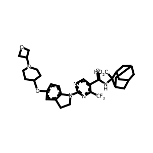 O=C(NC1(C(=O)O)C2CC3CC(C2)CC1C3)c1cnc(N2CCc3cc(OC4CCN(C5COC5)CC4)ccc32)nc1C(F)(F)F